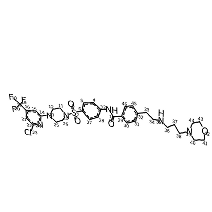 O=C(Nc1ccc(S(=O)(=O)N2CCN(c3cc(C(F)(F)F)cc(Cl)n3)CC2)cc1)c1ccc(CCNCCCN2CCOCC2)cc1